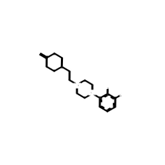 C=C1CCC(CCN2CCN(c3cccc(Cl)c3Cl)CC2)CC1